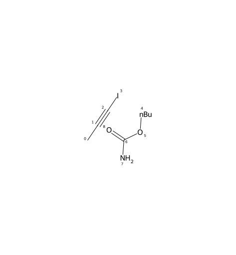 CC#CI.CCCCOC(N)=O